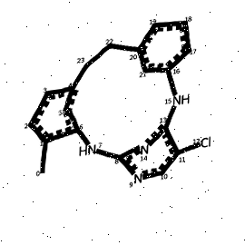 Cc1ccc2cc1Nc1ncc(Cl)c(n1)Nc1cccc(c1)CC2